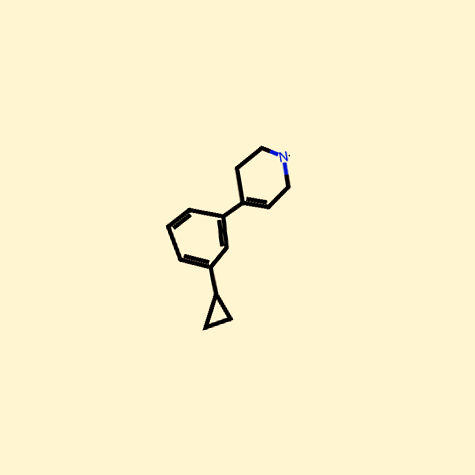 C1=C(c2cccc(C3CC3)c2)CC[N]C1